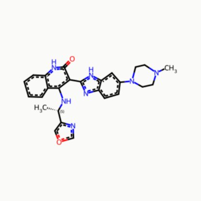 C[C@H](Nc1c(-c2nc3ccc(N4CCN(C)CC4)cc3[nH]2)c(=O)[nH]c2ccccc12)c1cocn1